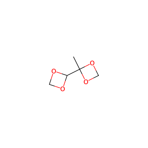 CC1(C2OCO2)OCO1